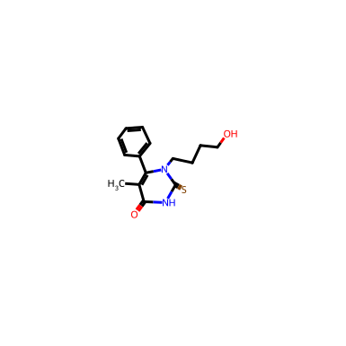 Cc1c(-c2ccccc2)n(CCCCO)c(=S)[nH]c1=O